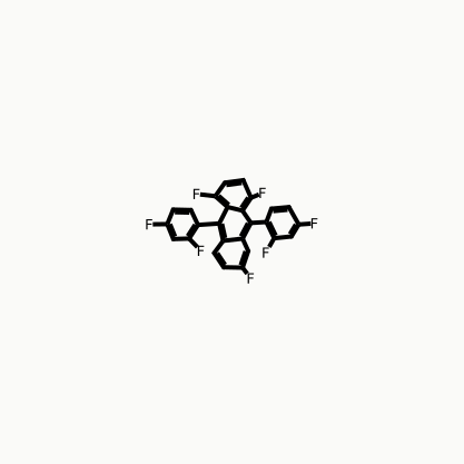 Fc1ccc(-c2c3ccc(F)cc3c(-c3ccc(F)cc3F)c3c(F)ccc(F)c23)c(F)c1